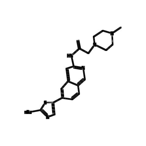 C=C(CN1CCN(C)CC1)Nc1cc2cc(-c3cnc(CCCC)s3)ccc2cn1